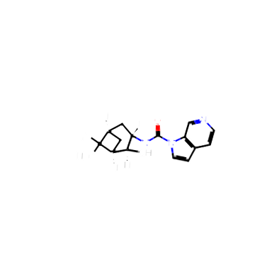 C[C@@H]1[C@@H](NC(=O)n2ccc3ccncc32)C[C@H]2C[C@@H]1C2(C)C